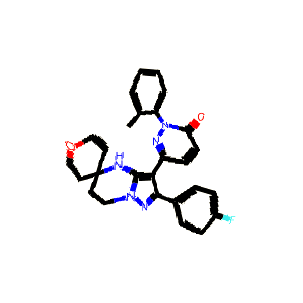 Cc1ccccc1-n1nc(-c2c(-c3ccc(F)cc3)nn3c2NC2(CCOCC2)CC3)ccc1=O